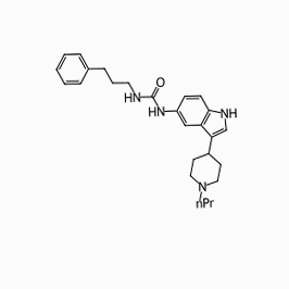 CCCN1CCC(c2c[nH]c3ccc(NC(=O)NCCCc4ccccc4)cc23)CC1